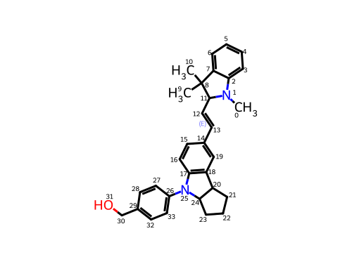 CN1c2ccccc2C(C)(C)C1/C=C/c1ccc2c(c1)C1CCCC1N2c1ccc(CO)cc1